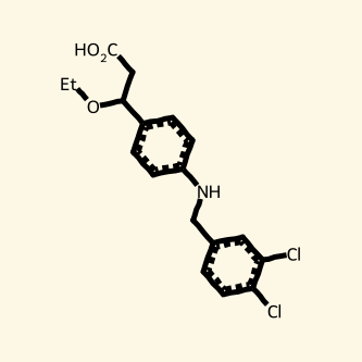 CCOC(CC(=O)O)c1ccc(NCc2ccc(Cl)c(Cl)c2)cc1